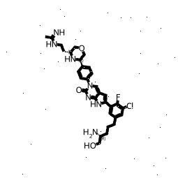 CC(=N)NCC[C@@H]1COC[C@@H](c2ccc(-n3cc4cc(-c5cc(CCC[C@@H](N)CO)cc(Cl)c5F)[nH]c4nc3=O)cc2)N1